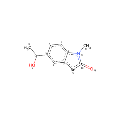 CC(O)c1ccc2c(c1)[se]c(=O)n2C